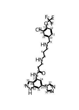 O=C(CCNCCCNCc1ccc(OC(F)(F)F)c(Cl)c1)Nc1cc(-n2cnnc2)cc2[nH]ncc12